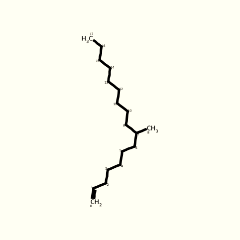 C=CCCCCCC(C)CCCCCCCCC